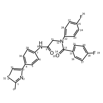 Cc1nc(-c2ccc(NC(=O)CN(C(=O)c3ccc(F)cc3)c3ccc(F)cc3)cc2)cs1